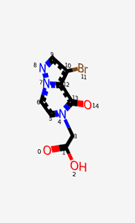 O=C(O)Cn1ccn2ncc(Br)c2c1=O